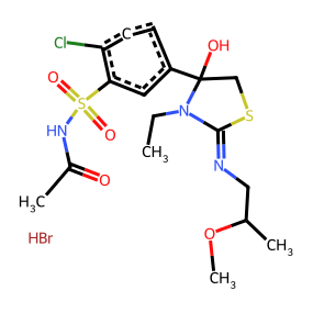 Br.CCN1C(=NCC(C)OC)SCC1(O)c1ccc(Cl)c(S(=O)(=O)NC(C)=O)c1